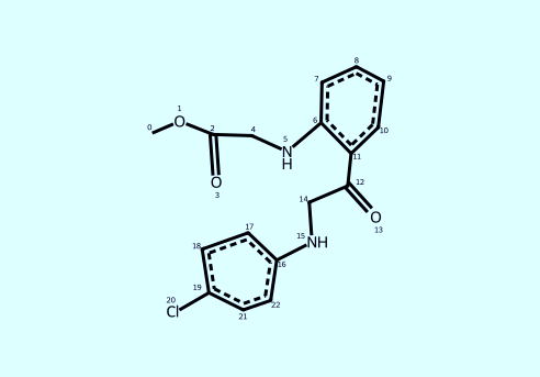 COC(=O)CNc1ccccc1C(=O)CNc1ccc(Cl)cc1